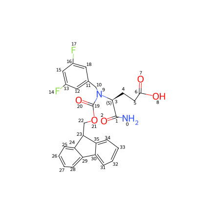 NC(=O)[C@H](CCC(=O)O)N(Cc1cc(F)cc(F)c1)C(=O)OCC1c2ccccc2-c2ccccc21